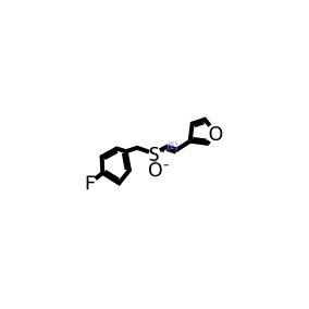 [O-][S+](/C=C/c1ccoc1)Cc1ccc(F)cc1